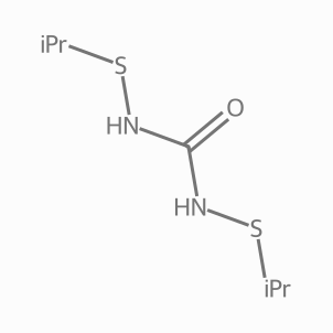 CC(C)SNC(=O)NSC(C)C